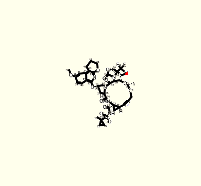 CC[C@@H]1O[C@H](C)CC/C=C\[C@@H]2C[C@@]2(C(=O)NS(=O)(=O)C2(C)CC2)NC(=O)[C@@H]2C[C@@H](Oc3nc4c(c5cc(OC)ccc35)CCCO4)CN2C(=O)[C@H]1N(C(=O)O)C(C)(C)C(F)(F)F